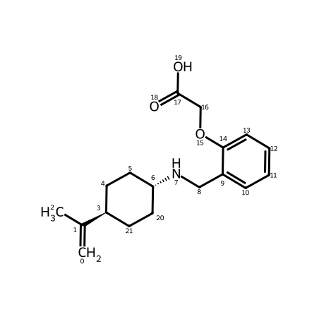 C=C(C)[C@H]1CC[C@H](NCc2ccccc2OCC(=O)O)CC1